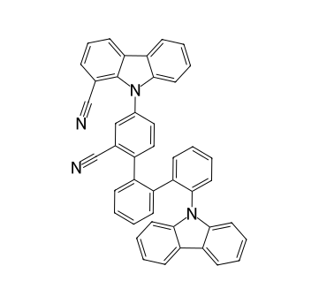 N#Cc1cc(-n2c3ccccc3c3cccc(C#N)c32)ccc1-c1ccccc1-c1ccccc1-n1c2ccccc2c2ccccc21